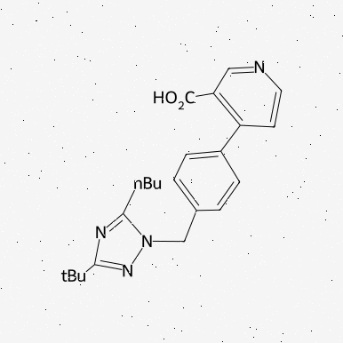 CCCCc1nc(C(C)(C)C)nn1Cc1ccc(-c2ccncc2C(=O)O)cc1